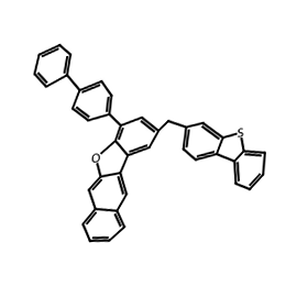 c1ccc(-c2ccc(-c3cc(Cc4ccc5c(c4)sc4ccccc45)cc4c3oc3cc5ccccc5cc34)cc2)cc1